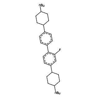 CCCCC1CCC(c2ccc(-c3ccc(C4CCC(CCCC)CC4)cc3F)cc2)CC1